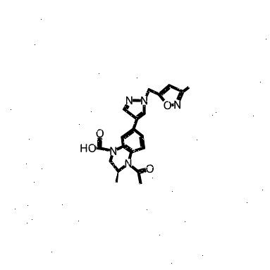 CC(=O)N1c2ccc(-c3cnn(Cc4cc(C)no4)c3)cc2N(C(=O)O)C[C@@H]1C